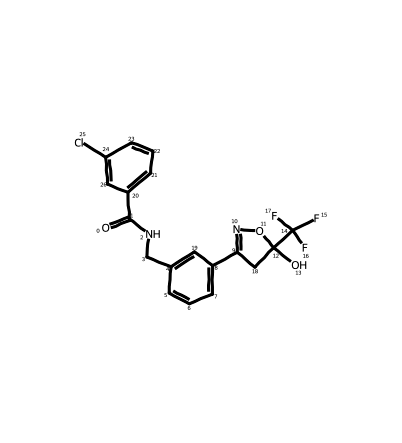 O=C(NCc1cccc(C2=NOC(O)(C(F)(F)F)C2)c1)c1cccc(Cl)c1